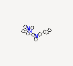 CC1(C)c2ccccc2-c2ccc(-c3ccc(-n4c5ccccc5c5cc(-c6ccc7c(c6)C6(c8ccccc8-7)c7ccccc7-n7c6nc6ccccc67)ccc54)cc3)cc21